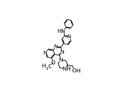 COc1cncc2nc(-c3ccnc(Nc4ccccc4)c3)nc(N3CCN[C@H](CO)C3)c12